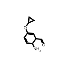 NC1C=CC(OC2CC2)=CC1C=O